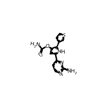 NC(=O)Oc1cc(-c2ccnc(N)n2)[nH]c1-c1ccsc1